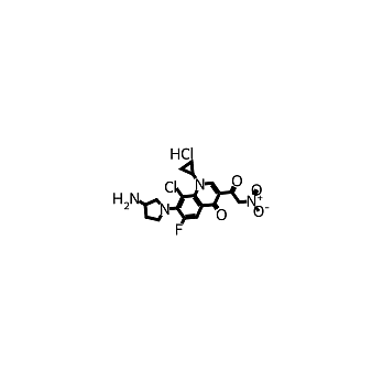 Cl.NC1CCN(c2c(F)cc3c(=O)c(C(=O)C[N+](=O)[O-])cn(C4CC4)c3c2Cl)C1